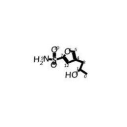 CC(O)Cc1coc(S(N)(=O)=O)c1